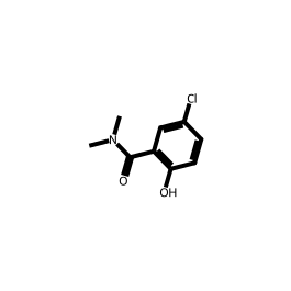 CN(C)C(=O)c1cc(Cl)ccc1O